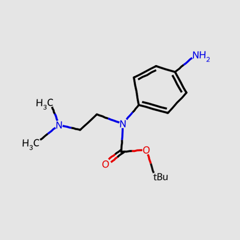 CN(C)CCN(C(=O)OC(C)(C)C)c1ccc(N)cc1